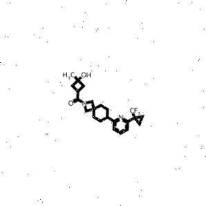 CC1(O)CC(C(=O)N2CC3(CCC(c4cccc(C5(C(F)(F)F)CC5)n4)CC3)C2)C1